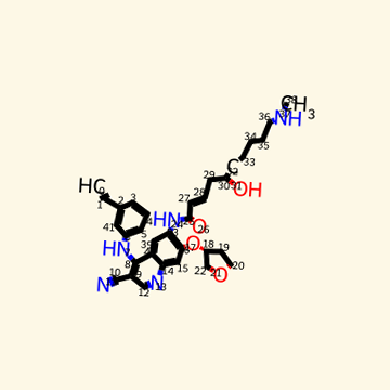 C#Cc1cccc(Nc2c(C#N)cnc3cc(O[C@H]4CCOC4)c(NC(=O)/C=C/CC(O)CCCCCNC)cc23)c1